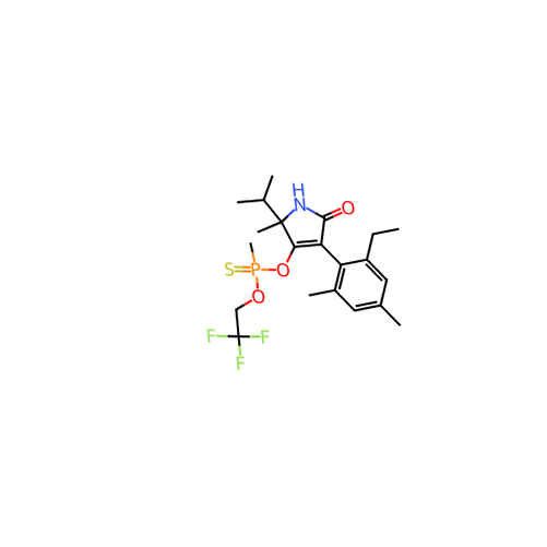 CCc1cc(C)cc(C)c1C1=C(OP(C)(=S)OCC(F)(F)F)C(C)(C(C)C)NC1=O